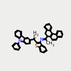 C=C(c1ccc2c(c1)c1ccccc1n2-c1ccccc1)c1sc2ccccc2c1/N=C(\C)C1Cc2ccccc2-c2c1ccc1ccccc21